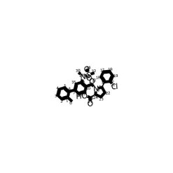 Cc1ccccc1-c1ccc(C(=O)N2[C@@H](c3ccccc3Cl)CC[C@H]2C(=O)O)c(N(C)S(C)(=O)=O)c1